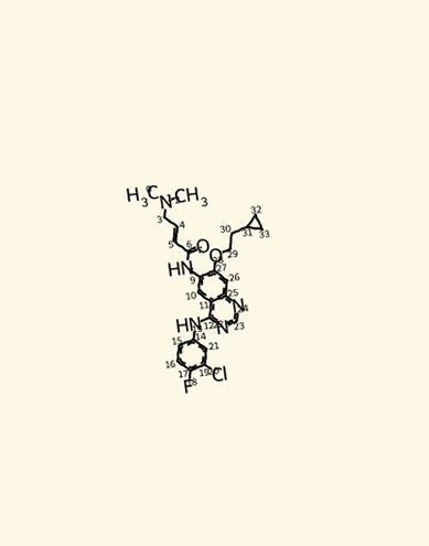 CN(C)CC=CC(=O)Nc1cc2c(Nc3ccc(F)c(Cl)c3)ncnc2cc1OCCC1CC1